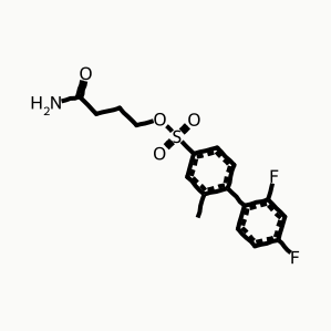 Cc1cc(S(=O)(=O)OCCCC(N)=O)ccc1-c1ccc(F)cc1F